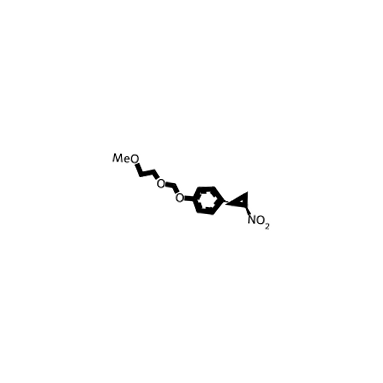 COCCOCOc1ccc([C@@H]2C[C@H]2[N+](=O)[O-])cc1